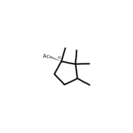 CC(=O)[C@@]1(C)CCC(C)C1(C)C